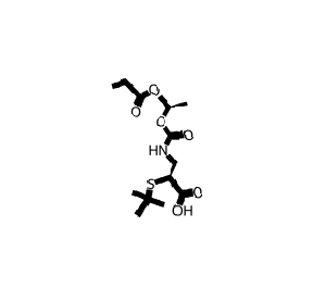 CCC(=O)O[C@@H](C)OC(=O)NC[C@H](SC(C)(C)C)C(=O)O